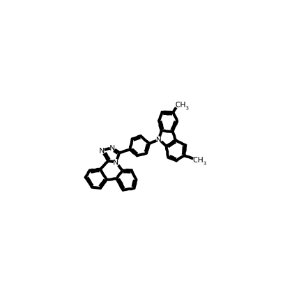 Cc1ccc2c(c1)c1cc(C)ccc1n2-c1ccc(-c2nnc3c4ccccc4c4ccccc4n23)cc1